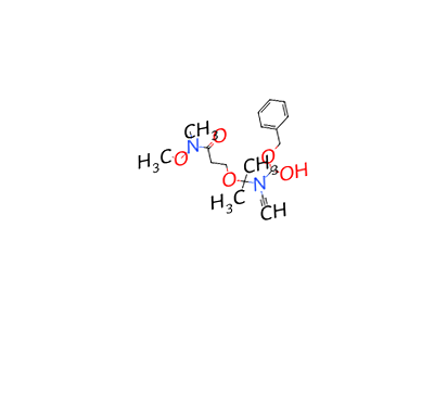 C#CN(C(O)OCc1ccccc1)C(C)(C)OCCC(=O)N(C)OC